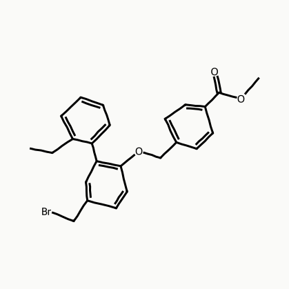 CCc1ccccc1-c1cc(CBr)ccc1OCc1ccc(C(=O)OC)cc1